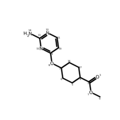 COC(=O)C1CCC(Oc2ccnc(N)n2)CC1